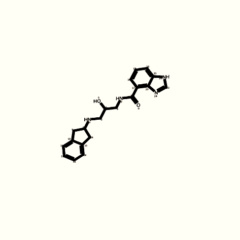 O=C(NCC(O)CNC1Cc2ccccc2C1)c1cccc2[nH]cnc12